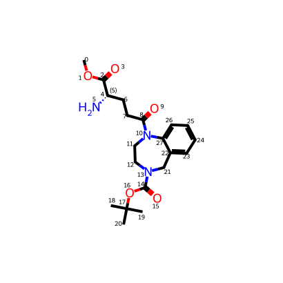 COC(=O)[C@@H](N)CCC(=O)N1CCN(C(=O)OC(C)(C)C)Cc2ccccc21